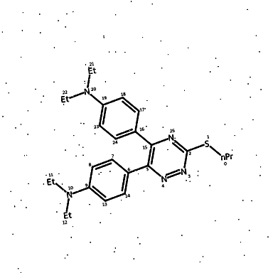 CCCSc1nnc(-c2ccc(N(CC)CC)cc2)c(-c2ccc(N(CC)CC)cc2)n1